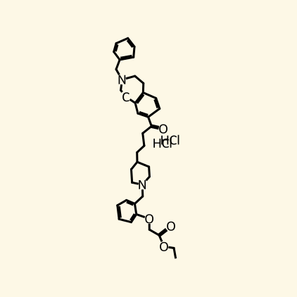 CCOC(=O)COc1ccccc1CN1CCC(CCCC(=O)c2ccc3c(c2)CCN(Cc2ccccc2)CC3)CC1.Cl.Cl